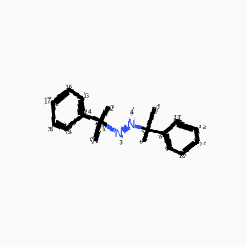 CC(C)(/N=N/C(C)(C)c1ccccc1)c1ccccc1